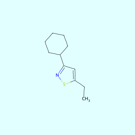 CCc1cc(C2CCCCC2)ns1